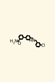 NC(=O)c1cccc(-c2ccc(CNCc3cccc(Cl)c3)cc2)c1